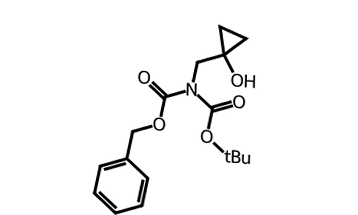 CC(C)(C)OC(=O)N(CC1(O)CC1)C(=O)OCc1ccccc1